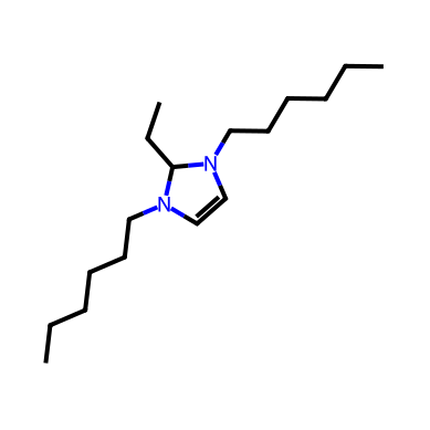 CCCCCCN1C=CN(CCCCCC)C1CC